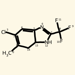 CC1=C(Cl)C=C2N=C(C(F)(F)F)NC2C1